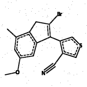 COc1cc(C)c2c(c1)C(c1cscc1C#N)=C(Br)C2